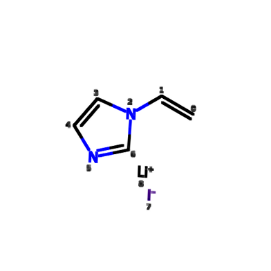 C=Cn1ccnc1.[I-].[Li+]